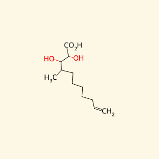 C=CCCCCCC(C)C(O)C(O)C(=O)O